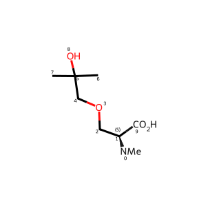 CN[C@@H](COCC(C)(C)O)C(=O)O